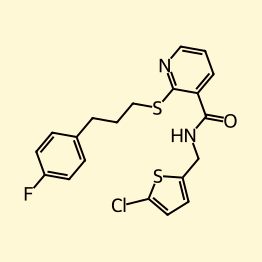 O=C(NCc1ccc(Cl)s1)c1cccnc1SCCCc1ccc(F)cc1